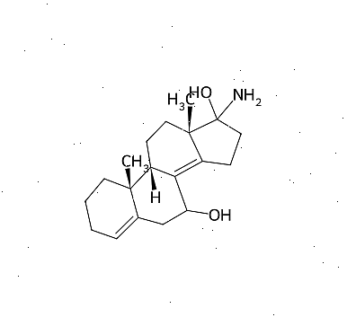 C[C@]12CCCC=C1CC(O)C1=C3CCC(N)(O)[C@@]3(C)CC[C@H]12